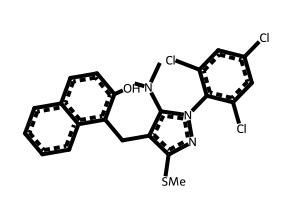 CSc1nn(-c2c(Cl)cc(Cl)cc2Cl)c(N(C)C)c1Cc1c(O)ccc2ccccc12